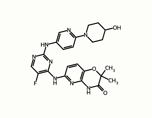 CC1(C)Oc2ccc(Nc3nc(Nc4ccc(N5CCC(O)CC5)nc4)ncc3F)nc2NC1=O